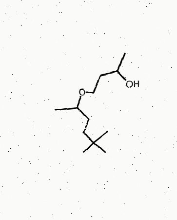 CC(O)CCOC(C)CCC(C)(C)C